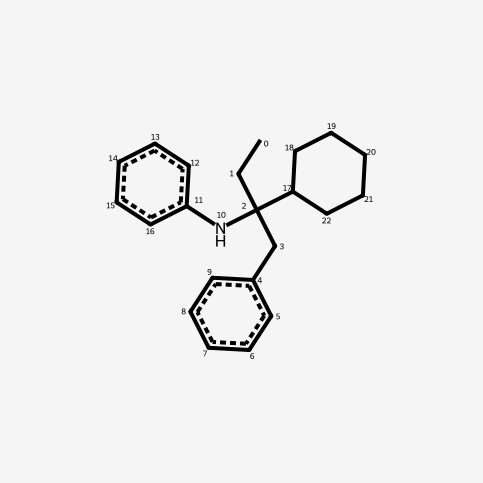 CCC(Cc1ccccc1)(Nc1ccccc1)C1CCCCC1